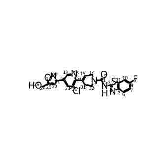 O=C(Nc1nc2ccc(F)cc2s1)N1CC=C(c2ncc(-c3cc(CO)on3)cc2Cl)CC1